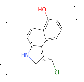 Oc1cccc2c3c(ccc12)NC[C@H]3CCl